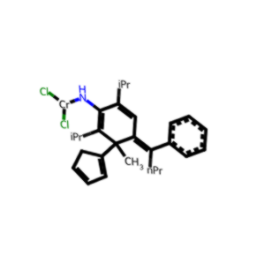 CCCC(=C1C=C(C(C)C)C([NH][Cr]([Cl])[Cl])=C(C(C)C)C1(C)C1=CC=CC1)c1ccccc1